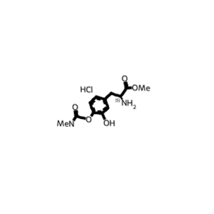 CNC(=O)Oc1ccc(C[C@H](N)C(=O)OC)cc1O.Cl